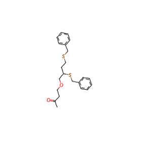 CC(=O)CCOCC(CCSCc1ccccc1)SCc1ccccc1